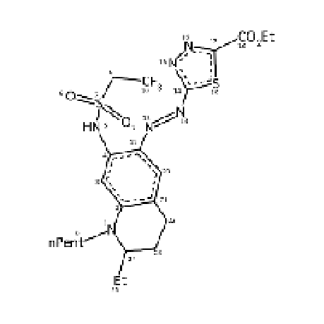 CCCCCN1c2cc(NS(=O)(=O)CC(F)(F)F)c(N=Nc3nnc(C(=O)OCC)s3)cc2CCC1CC